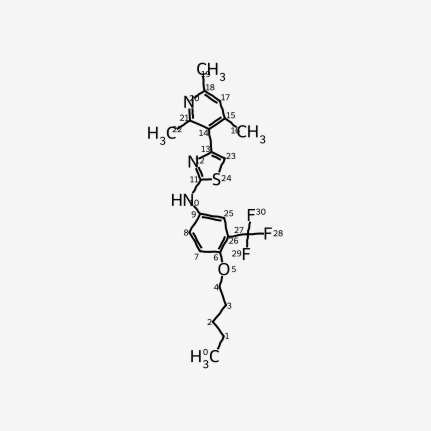 CCCCCOc1ccc(Nc2nc(-c3c(C)cc(C)nc3C)cs2)cc1C(F)(F)F